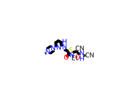 CCn1c(=C(C#N)C(=O)NCC#N)sc(=CNc2cccc(N3CCN(C)CC3)n2)c1=O